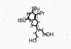 CC(C)C1=C2CC(N(CCO)CCO)CN2C(C(C)(C)C)=NC1C(C)(C)C